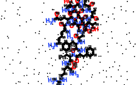 CC(C)CC(NC(=O)C(Cc1ccccc1)NC(=O)C(Cc1ccccc1)NC(=O)CNC(=O)C(C)NC(=O)C(Cc1c[nH]cn1)NC(=O)C(C)NC(=O)C(NC(=O)C(C)NC(=O)C(NC(=O)C(NC(=O)C(CC(N)=O)NC(=O)C(CCC(N)=O)NC(=O)C(N)CCCCN)C(C)O)C(C)C)C(C)O)C(=O)NC(CCCNC(=N)N)C(N)=O